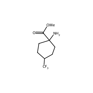 COC(=O)C1(N)CCC(C(F)(F)F)CC1